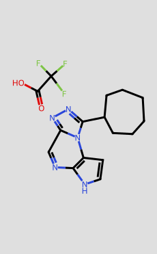 O=C(O)C(F)(F)F.c1cc2c(ncc3nnc(C4CCCCCC4)n32)[nH]1